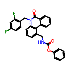 O=C(NCc1ccccc1-c1ccccc1C(=O)NCc1ccc(F)cc1F)Oc1ccccc1